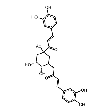 CC(=O)[C@@]1(C(=O)/C=C/c2ccc(O)c(O)c2)C[C@@H](CC(=O)/C=C/c2ccc(O)c(O)c2)[C@H](O)[C@H](O)C1